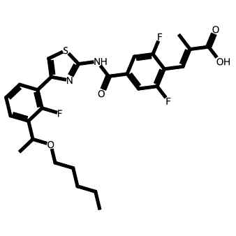 CCCCCOC(C)c1cccc(-c2csc(NC(=O)c3cc(F)c(/C=C(\C)C(=O)O)c(F)c3)n2)c1F